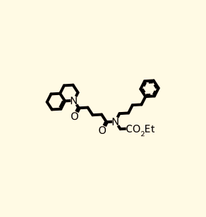 CCOC(=O)CN(CCCCc1ccccc1)C(=O)CCCC(=O)N1CCCC2CCCC=C21